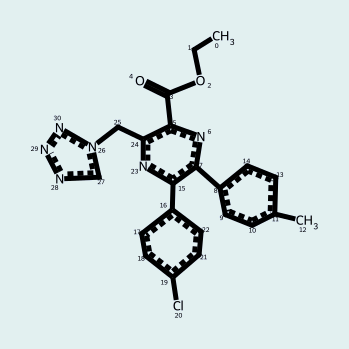 CCOC(=O)c1nc(-c2ccc(C)cc2)c(-c2ccc(Cl)cc2)nc1Cn1cnnn1